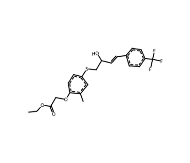 CCOC(=O)COc1ccc(SCC(O)C=Cc2ccc(C(F)(F)F)cc2)cc1C